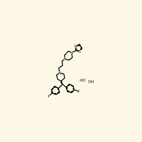 Cl.Cl.Fc1ccc(C(=C2CCN(CCCN3CCN(c4nccs4)CC3)CC2)c2ccc(F)cc2)cc1